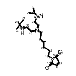 CC(C)NCCN(CCCCCCN1C(=O)C=CC1=O)CCNC(C)(C)C